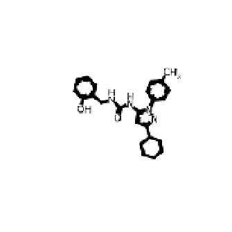 Cc1ccc(-n2nc(C3CCCCC3)cc2NC(=O)NCc2ccccc2O)cc1